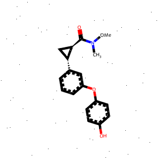 CON(C)C(=O)[C@@H]1C[C@H]1c1cccc(Oc2ccc(O)cc2)c1